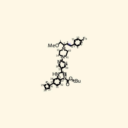 COCC(/C=C/c1ccc(F)cc1)N1CCN(c2ncc(C(=O)Nc3cc(-c4cccs4)ccc3NC(=O)OC(C)(C)C)cn2)CC1